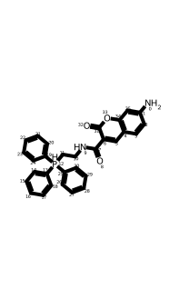 Nc1ccc2cc(C(=O)NCC[PH](c3ccccc3)(c3ccccc3)c3ccccc3)c(=O)oc2c1